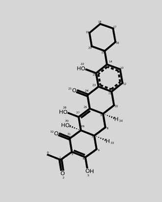 CC(=O)C1=C(O)C[C@@H]2C[C@@H]3Cc4ccc(C5CCCCC5)c(O)c4C(=O)C3=C(O)[C@]2(O)C1=O